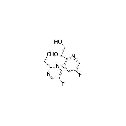 O=CCc1ncc(F)cn1.OCCc1ncc(F)cn1